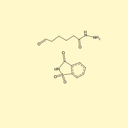 NNC(=O)CCCCC=O.O=C1NS(=O)(=O)c2ccccc21